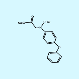 COC(=O)CN(C=O)c1ccc(Oc2ccccc2)cc1